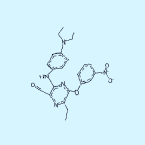 CCc1nc(C=O)c(Nc2ccc(N(CC)CC)cc2)nc1Oc1cccc([N+](=O)[O-])c1